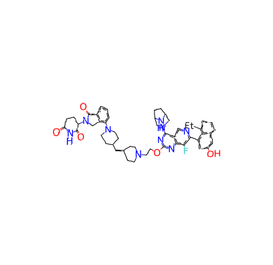 CCc1cccc2cc(O)cc(-c3ncc4c(N5CC6CCC(C5)N6)nc(OCCN5CCC(CC6CCN(c7cccc8c7CN(C7CCC(=O)NC7=O)C8=O)CC6)CC5)nc4c3F)c12